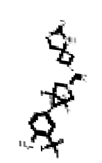 Cc1ccc([C@H]2[C@@H]3CN(C(=O)[C@H]4C[C@]5(COC(=O)N5)C4)C[C@@H]32)cc1C(F)(F)F